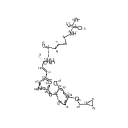 CC(C)S(=O)(=O)NCCCCC(=O)N[C@@H](C)/C=C/c1cnc(Oc2ccc(OCC3CC3)cc2Cl)s1